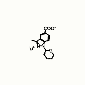 Cc1nn(C2CCCCO2)c2ccc(C(=O)[O-])cc12.[Li+]